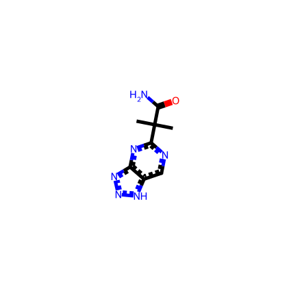 CC(C)(C(N)=O)c1ncc2[nH]nnc2n1